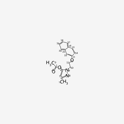 CC(=O)Oc1cc(C)nn1CCOc1ccc2ccccc2c1